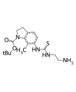 Cc1c(NC(=S)NCCN)ccc2c1N(C(=O)OC(C)(C)C)CC2